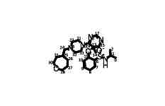 CC(C)N[S+]([O-])C1CCC=CC1OC1(C)CN=CN=C1N1CCN(CC2CCCOCC2)CC1